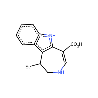 CCC1CNC=C(C(=O)O)c2[nH]c3ccccc3c21